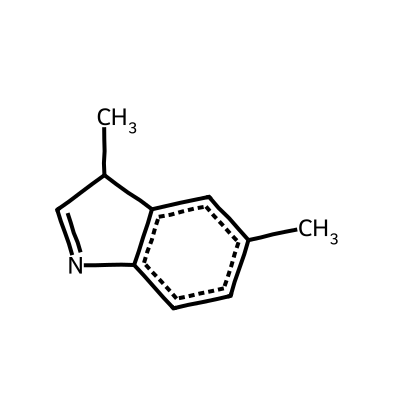 Cc1ccc2c(c1)C(C)C=N2